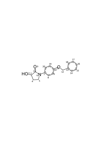 O=C1C(O)CCN1c1ccc(OCc2ccccc2)cc1